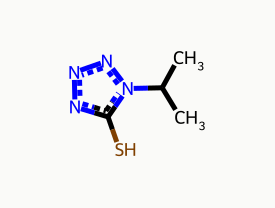 CC(C)n1nnnc1S